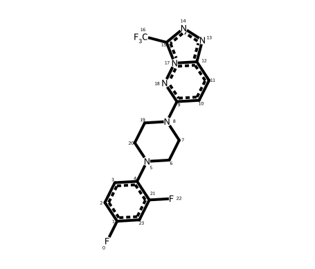 Fc1ccc(N2CCN(c3ccc4nnc(C(F)(F)F)n4n3)CC2)c(F)c1